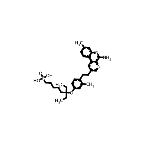 CCC(CC)(CCCCCP(=O)(O)O)Oc1ccc(CCc2cnc3c(N)nc4cc(C)ccc4c3c2)c(C)c1